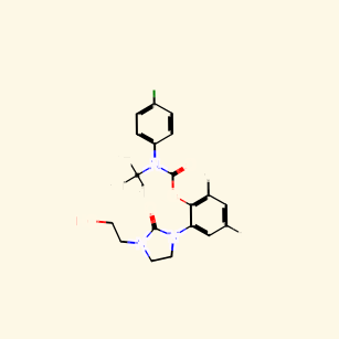 [2H]C([2H])([2H])N(C(=O)Oc1c(N2CCN(CCO)C2=O)cc(C(F)(F)F)cc1C(F)(F)F)c1ccc(F)cc1